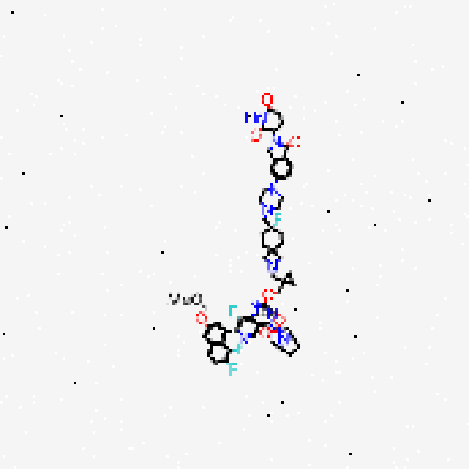 COCOc1cc(-c2ncc3c(N4CC5CCC(C4)N5C(=O)OC(C)(C)C)nc(OCC4(CN5CC6(CCC(F)(CN7CCN(c8ccc9c(c8)CN([C@H]8CCC(=O)NC8=O)C9=O)CC7)CC6)C5)CC4)nc3c2F)c2c(F)c(F)ccc2c1